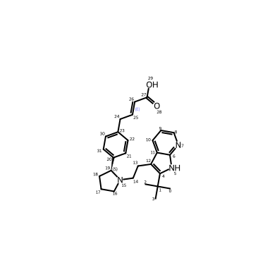 CC(C)(C)c1[nH]c2ncccc2c1CCN1CCC[C@H]1c1ccc(C/C=C/C(=O)O)cc1